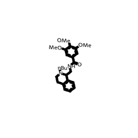 CCCCN1CCc2ccccc2C1CNC(=O)c1cc(OC)c(OC)c(OC)c1